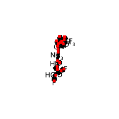 N.O=C(CCCCCCCCCCC(=O)Nc1ccccc1C(c1cccnc1OC(=O)C(F)(F)F)C(c1ccccn1)C(O)c1ccccc1)NCc1cccc(C2C(CCC(O)c3ccc(F)cc3)C(=O)N2c2ccc(F)cc2)c1